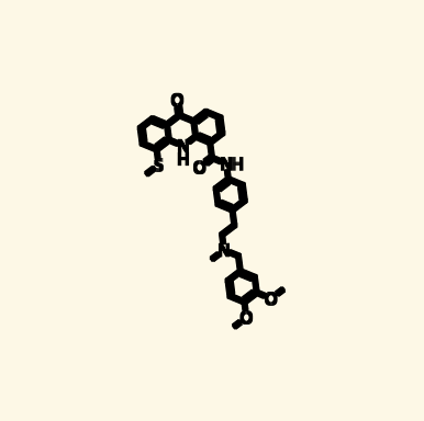 COc1ccc(CN(C)CCc2ccc(NC(=O)c3cccc4c(=O)c5cccc(SC)c5[nH]c34)cc2)cc1OC